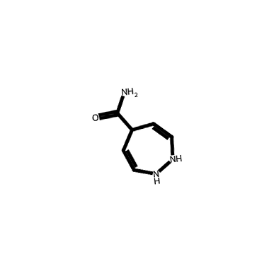 NC(=O)C1C=CNNC=C1